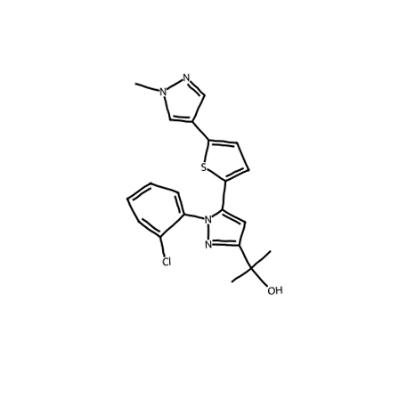 Cn1cc(-c2ccc(-c3cc(C(C)(C)O)nn3-c3ccccc3Cl)s2)cn1